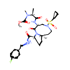 C[C@@H](C(=O)N[C@H]1CN(S(=O)(=O)C2CC2)CC[C@H]2CC[C@@H](C(=O)NCc3ccc(F)cc3)N2C1=O)N(C)C(=O)OC(C)(C)C